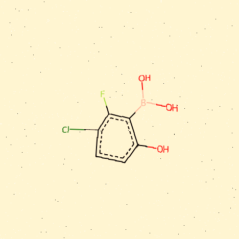 OB(O)c1c(O)ccc(Cl)c1F